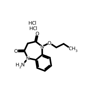 CCCON1C(=O)CC(=O)N(N)c2ccccc21.Cl.Cl